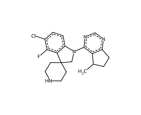 CC1CCc2ncnc(N3CC4(CCNCC4)c4c3ccc(Cl)c4F)c21